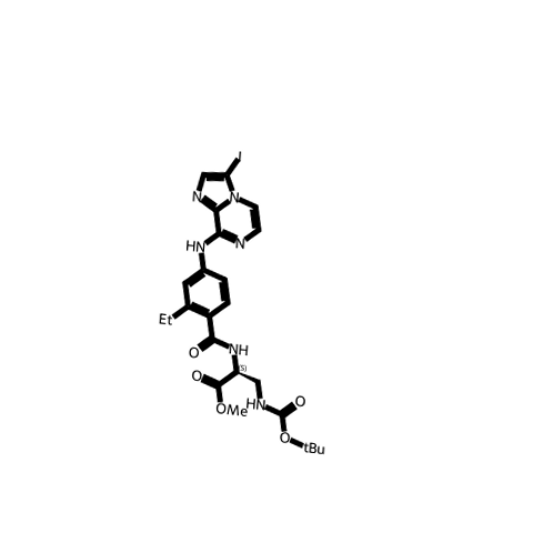 CCc1cc(Nc2nccn3c(I)cnc23)ccc1C(=O)N[C@@H](CNC(=O)OC(C)(C)C)C(=O)OC